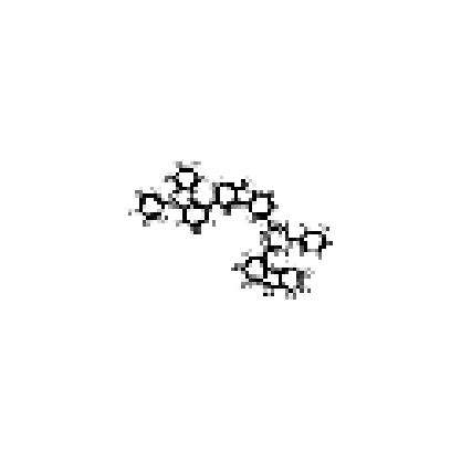 c1ccc(-c2nc(-c3ccc4oc5ccc(-c6cccc7c6c6ccccc6n7-c6ccccc6)cc5c4c3)nc(-c3cccc4oc5ccccc5c34)n2)cc1